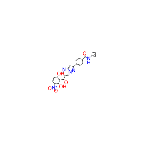 O=C(NC12CC(C1)C2)c1ccc(-c2cc3ncc(C(=O)c4c(O)ccc([N+](=O)[O-])c4O)cn3n2)cc1